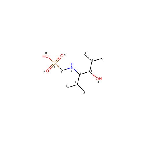 CC(C)C(O)C(NCS(=O)(=O)O)C(C)C